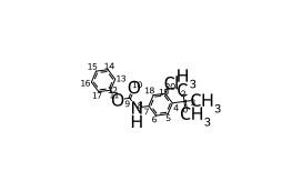 CC(C)(C)c1ccc(NC(=O)Oc2ccccc2)cc1Cl